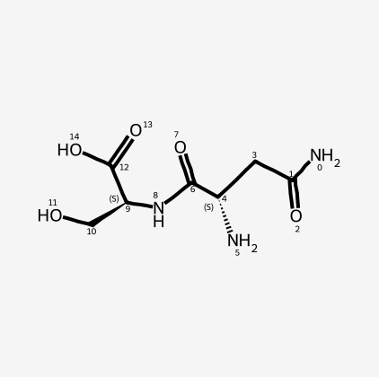 NC(=O)C[C@H](N)C(=O)N[C@@H](CO)C(=O)O